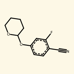 N#Cc1ccc(OC2CCCCO2)cc1F